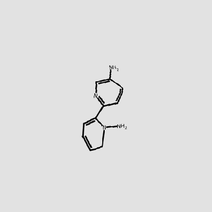 Nc1ccc(C2=CC=CCN2N)nc1